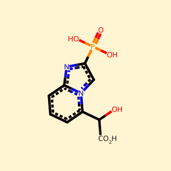 O=C(O)C(O)c1cccc2nc(P(=O)(O)O)cn12